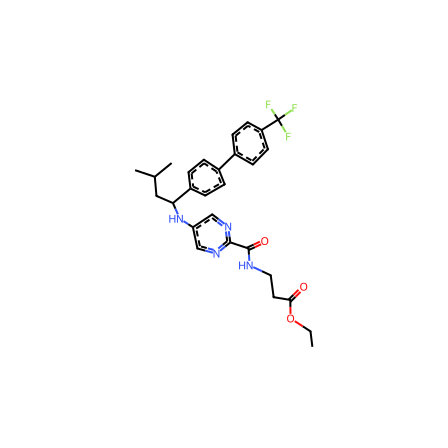 CCOC(=O)CCNC(=O)c1ncc(NC(CC(C)C)c2ccc(-c3ccc(C(F)(F)F)cc3)cc2)cn1